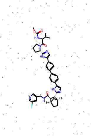 COC(=O)N[C@H](C(=O)N1CCC[C@H]1c1ncc(-c2ccc(-c3ccc(-c4cnc([C@@H]5[C@H]6CC[C@H](C6)[C@H]5C(=O)NCc5cncc(F)c5)[nH]4)cc3)cc2)[nH]1)C(C)C